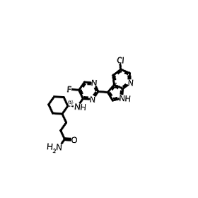 NC(=O)CCC1CCCC[C@@H]1Nc1nc(-c2c[nH]c3ncc(Cl)cc23)ncc1F